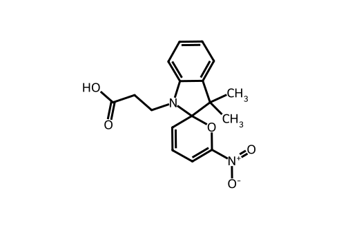 CC1(C)c2ccccc2N(CCC(=O)O)C12C=CC=C([N+](=O)[O-])O2